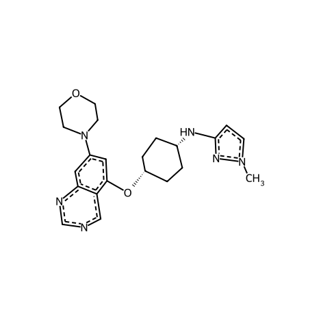 Cn1ccc(N[C@H]2CC[C@@H](Oc3cc(N4CCOCC4)cc4ncncc34)CC2)n1